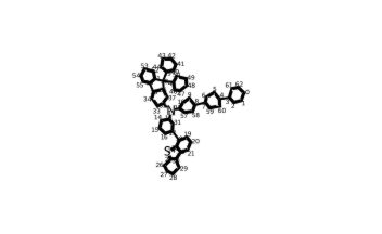 c1ccc(-c2ccc(-c3ccc(N(c4cccc(-c5cccc6c5sc5ccccc56)c4)c4ccc5c(c4)C(c4ccccc4)(c4ccccc4)c4ccccc4-5)cc3)cc2)cc1